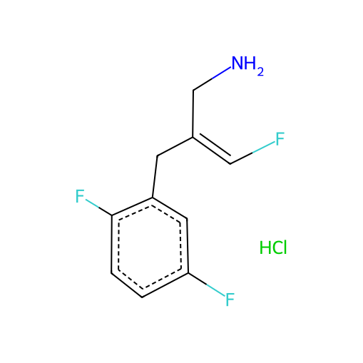 Cl.NCC(=CF)Cc1cc(F)ccc1F